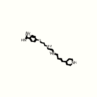 N=C(N)c1ccc(OCCCNCCNCCCCC2CCNCC2)cc1